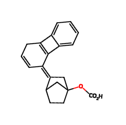 O=C(O)OC12CCC(C1)C(=C1C=CCC3=C1c1ccccc13)C2